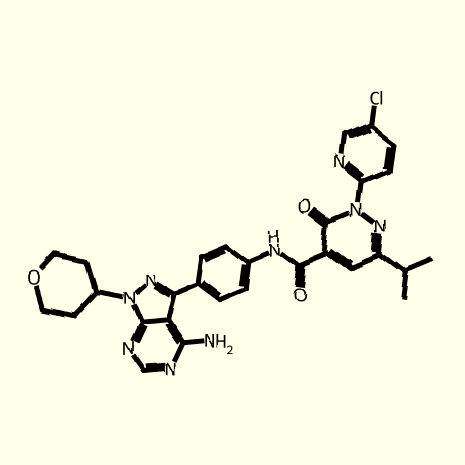 CC(C)c1cc(C(=O)Nc2ccc(-c3nn(C4CCOCC4)c4ncnc(N)c34)cc2)c(=O)n(-c2ccc(Cl)cn2)n1